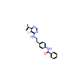 Cc1csc2c(NCCc3ccc(NC(=O)c4ccccc4)cc3)ncnc12